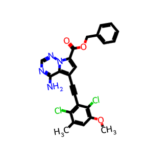 COc1cc(C)c(Cl)c(C#Cc2cc(C(=O)OCc3ccccc3)n3ncnc(N)c23)c1Cl